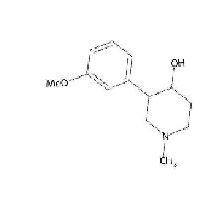 COc1cccc(C2CN(C)CCC2O)c1